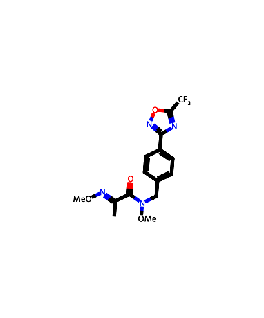 CO/N=C(\C)C(=O)N(Cc1ccc(-c2noc(C(F)(F)F)n2)cc1)OC